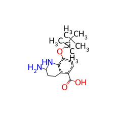 CC(C)(C)[Si](C)(C)Oc1ccc(C(=O)O)c2c1NC(N)CC2